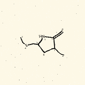 C=C1NC(SC)CC1C